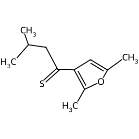 Cc1cc(C(=S)CC(C)C)c(C)o1